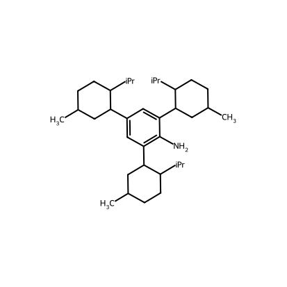 CC1CCC(C(C)C)C(c2cc(C3CC(C)CCC3C(C)C)c(N)c(C3CC(C)CCC3C(C)C)c2)C1